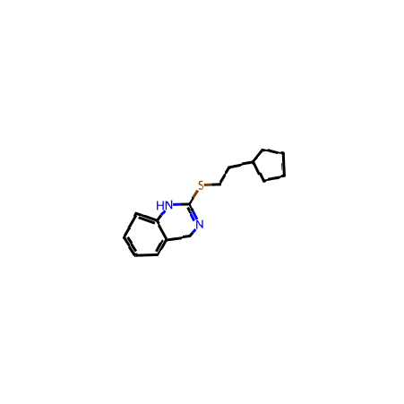 c1ccc2c(c1)CN=C(SCCC1CCCC1)N2